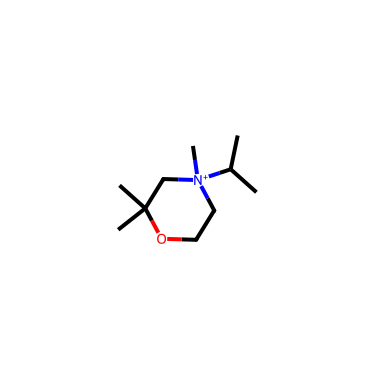 CC(C)[N+]1(C)CCOC(C)(C)C1